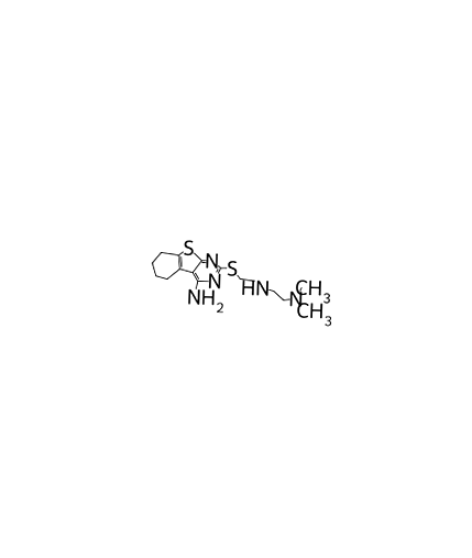 CN(C)CCNCCSc1nc(N)c2c3c(sc2n1)CCCC3